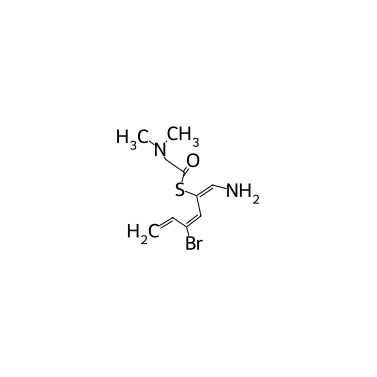 C=C/C(Br)=C\C(=C/N)SC(=O)CN(C)C